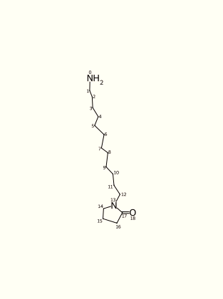 NCCCCCCCCCCCCN1CCCC1=O